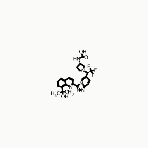 CC(C)(O)c1cccc2ccc(-c3nnc4ccc([C@@H](N5CC[C@H](NC(=O)O)C5)C(F)(F)F)cn34)nc12